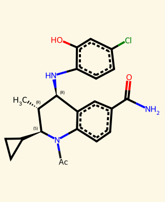 CC(=O)N1c2ccc(C(N)=O)cc2[C@H](Nc2ccc(Cl)cc2O)[C@@H](C)[C@@H]1C1CC1